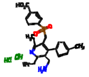 Cc1ccc(-c2c(CS(=O)(=O)c3ccc(C(=O)O)cc3)c(C)nc(CC(C)C)c2CN)cc1.Cl.Cl